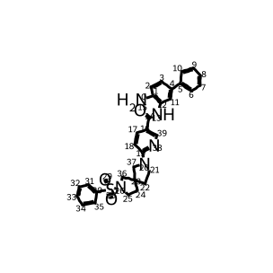 Nc1ccc(-c2ccccc2)cc1NC(=O)c1ccc(N2CCC3(CCN(S(=O)(=O)c4ccccc4)C3)C2)nc1